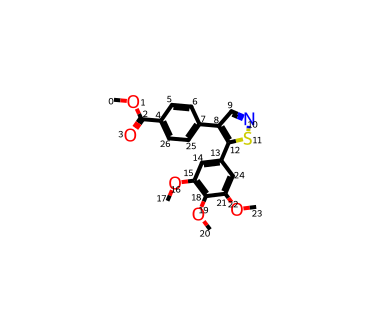 COC(=O)c1ccc(-c2cnsc2-c2cc(OC)c(OC)c(OC)c2)cc1